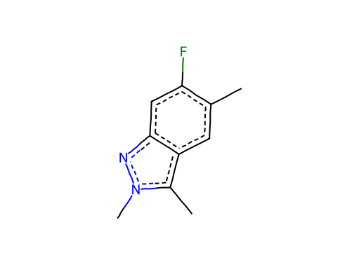 Cc1cc2c(C)n(C)nc2cc1F